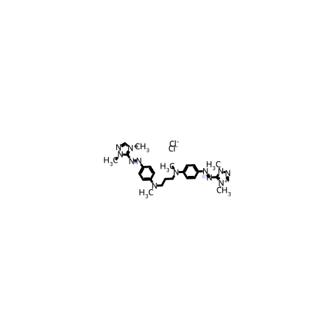 CN(CCCN(C)c1ccc(/N=N/c2n(C)nc[n+]2C)cc1)c1ccc(/N=N/c2n(C)nc[n+]2C)cc1.[Cl-].[Cl-]